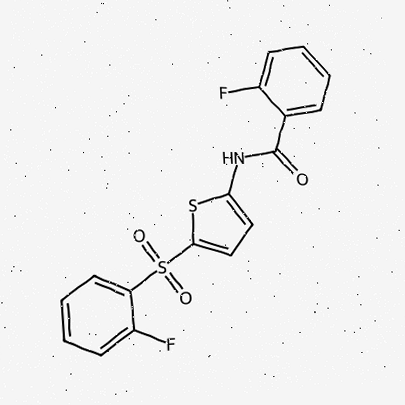 O=C(Nc1ccc(S(=O)(=O)c2ccccc2F)s1)c1ccccc1F